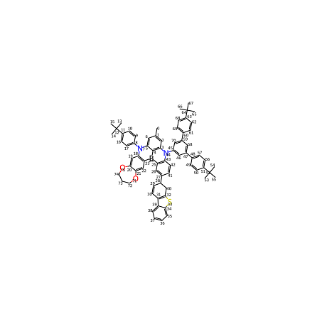 Cc1cc2c3c(c1)N(c1ccc(C(C)(C)C)cc1)c1cc4c(cc1B3c1cc(C3C=Cc5c(sc6ccccc56)C3)ccc1N2c1cc(-c2ccc(C(C)(C)C)cc2)cc(-c2ccc(C(C)(C)C)cc2)c1)OCCCO4